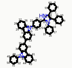 c1ccc(C2=C(c3ccccc3)N(c3ccccc3)C(c3ccc(-n4c5ccccc5c5cc(-c6ccc7c(c6)c6ccccc6n7-c6ccccc6)ccc54)cc3)N2)cc1